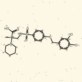 C[C@](CNS(=O)(=O)c1ccc(OCc2ccc(Cl)c(Cl)c2)cc1)(C(=O)O)N1CCCCC1